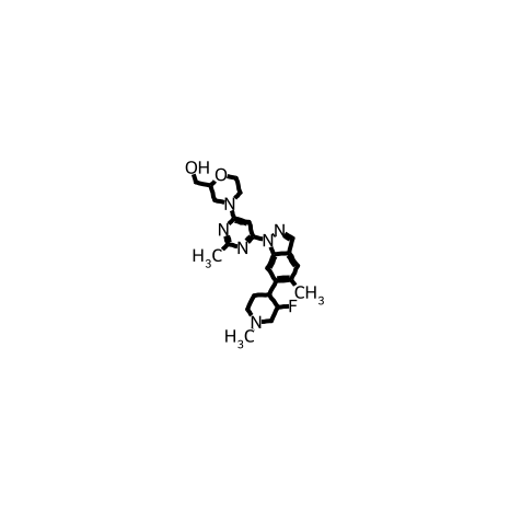 Cc1nc(N2CCOC(CO)C2)cc(-n2ncc3cc(C)c(C4CCN(C)CC4F)cc32)n1